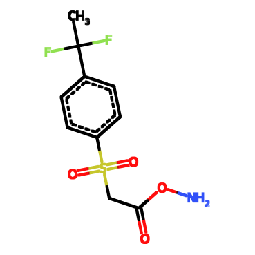 CC(F)(F)c1ccc(S(=O)(=O)CC(=O)ON)cc1